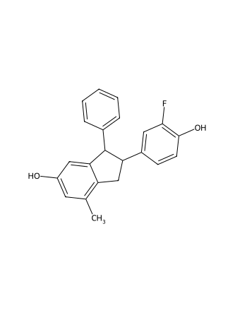 Cc1cc(O)cc2c1CC(c1ccc(O)c(F)c1)C2c1ccccc1